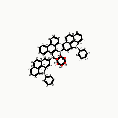 c1ccc(N(c2cc3ccc4cccc5c4c3c(c2)n5-c2ccccc2)c2c(N(c3ccccc3)c3cc4ccc5cccc6c5c4c(c3)n6-c3ccccc3)c3ccccc3c3ccccc23)cc1